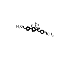 CCCc1ccc(-c2ccc(C(=O)CC3CCC(CCC)CC3)c(C)c2F)cc1